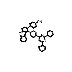 N#Cc1ccc(-c2ccc3oc4ccccc4c3c2C2C=CC(c3cc(-c4ccccc4)nc(-c4ccccc4)n3)=CC2)cc1